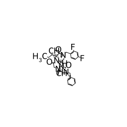 CCC(C)[C@H]1C(=O)N(Cc2ccc(F)cc2F)C[C@H]2N1C(=O)CN(C)N2C(=O)NCc1ccccc1